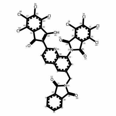 O=C1C(c2ccc3cc(CN4C(=O)c5ccccc5C4=O)cc(N4C(=O)c5c(Cl)c(Cl)c(Cl)c(Cl)c5C4=O)c3n2)=C(O)c2c(Cl)c(Cl)c(Cl)c(Cl)c21